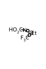 CCOc1ccc(C(F)(F)F)cc1-c1cccc(N2CC(C(=O)O)C2)c1